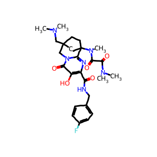 CN(C)CC12CCC(N(C)C(=O)C(=O)N(C)C)(CC1)c1nc(C(=O)NCc3ccc(F)cc3)c(O)c(=O)n1C2